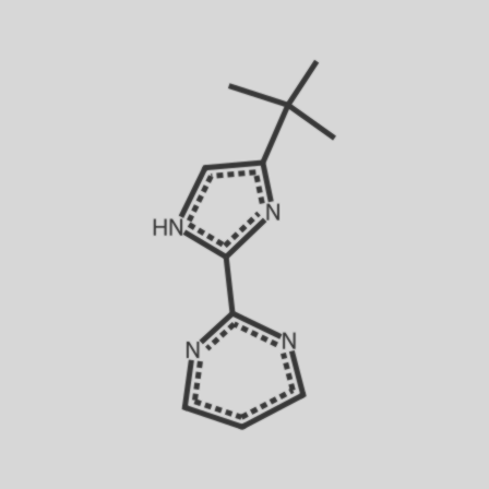 CC(C)(C)c1c[nH]c(-c2ncccn2)n1